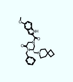 COc1ccc2[nH]c(C(=O)N3CC(=O)N(Cc4ccccc4)[C@@H](CN4CCC5(CCC5)CC4)C3)cc2c1